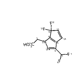 O=C(O)Cn1nc(C(F)F)c2c1C(F)(F)C=C2